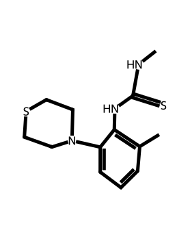 CNC(=S)Nc1c(C)cccc1N1CCSCC1